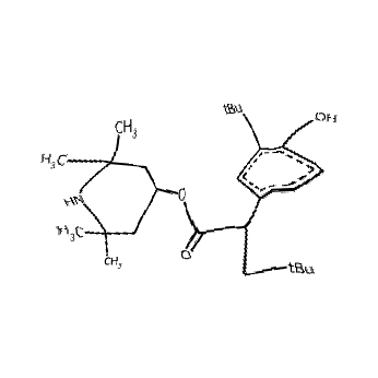 CC(C)(C)CC(C(=O)OC1CC(C)(C)NC(C)(C)C1)c1ccc(O)c(C(C)(C)C)c1